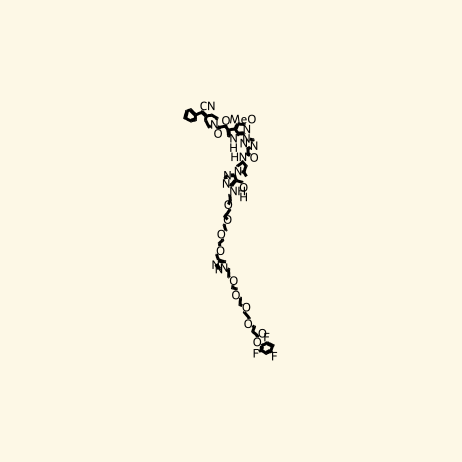 COc1cnc(-n2cnc(C(=O)N[C@H]3CC(C)N(c4ncnc(NCCOCCOCCOCCOCc5cn(CCOCCOCCOCCOCCC(=O)Oc6c(F)cc(F)cc6F)nn5)c4CO)C3)n2)c2[nH]cc(C(=O)C(=O)N3CCC(=C(C#N)c4ccccc4)CC3)c12